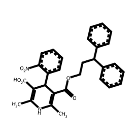 CC1=C(C(=O)O)C(c2ccccc2[N+](=O)[O-])C(C(=O)OCCC(c2ccccc2)c2ccccc2)=C(C)N1